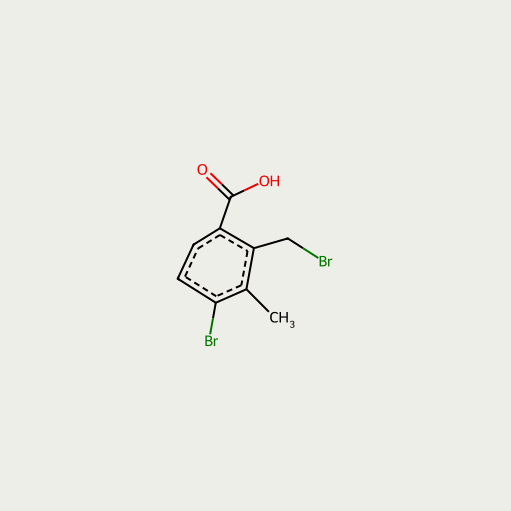 Cc1c(Br)ccc(C(=O)O)c1CBr